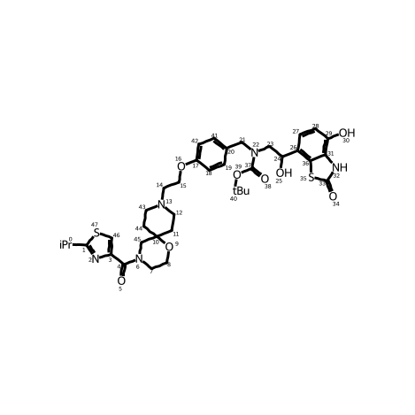 CC(C)c1nc(C(=O)N2CCOC3(CCN(CCOc4ccc(CN(CC(O)c5ccc(O)c6[nH]c(=O)sc56)C(=O)OC(C)(C)C)cc4)CC3)C2)cs1